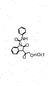 CCCCCCCCOCC(=O)C1C(=O)N(C(=O)Nc2ccccc2)c2ccccc21